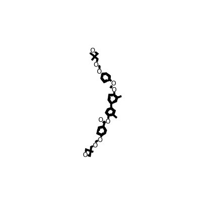 Cc1cc(-c2ccc(OC(=O)c3ccc(OCOCC4(C)COC4)cc3)c(C)c2)ccc1OCOc1ccc(OCOCC2(C)COC2)cc1